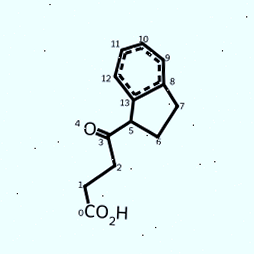 O=C(O)CCC(=O)C1CCc2ccccc21